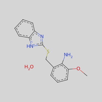 COc1cccc(CSc2nc3ccccc3[nH]2)c1N.O